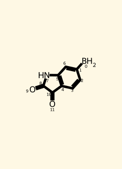 Bc1ccc2c(c1)NC(=O)C2=O